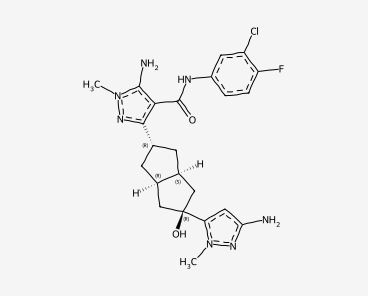 Cn1nc(N)cc1[C@]1(O)C[C@H]2C[C@H](c3nn(C)c(N)c3C(=O)Nc3ccc(F)c(Cl)c3)C[C@H]2C1